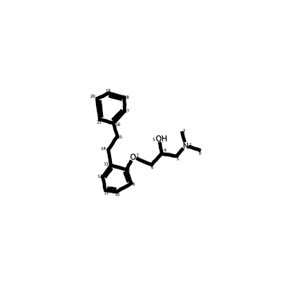 CN(C)CC(O)COc1ccccc1CCc1ccccc1